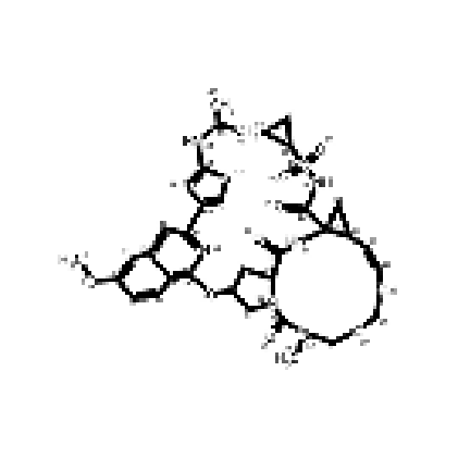 COc1ccc2c(OC3CC4C(=O)NC5(C(=O)NS(=O)(=O)C6CC6)CC5/C=C\CCCCN(C)C(=O)N4C3)nc(-c3csc(NC(C)C)n3)cc2c1